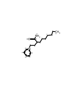 CCCCCCCC(CC[n+]1ccccc1)C(N)=O